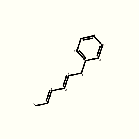 [CH2]/C=C/C=C/Cc1ccccc1